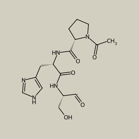 CC(=O)N1CCC[C@H]1C(=O)N[C@@H](Cc1c[nH]cn1)C(=O)N[C@H]([C]=O)CO